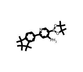 CC1(C)OB(c2cnc(-c3ccc4c(c3)C(C)(C)C(C)(C)C4(C)C)cc2P)OC1(C)C